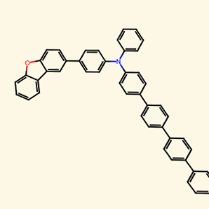 c1ccc(-c2ccc(-c3ccc(-c4ccc(N(c5ccccc5)c5ccc(-c6ccc7oc8ccccc8c7c6)cc5)cc4)cc3)cc2)cc1